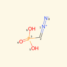 [N-]=[N+]=CP(=O)(O)O